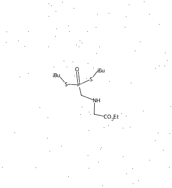 CCOC(=O)CNCP(=O)(SC(C)CC)SC(C)CC